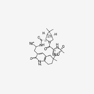 CC1(C)CCc2[nH]c(=O)c(CC(C#N)NC(=O)[C@@H]3[C@@H]4[C@H](CN3C(=O)[C@@H](NS(C)(=O)=O)C(C)(C)C)C4(C)C)cc2C1